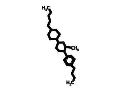 CCCCCC1CCC(C2CCC(c3ccc(CCCC)cc3)C(C)C2)CC1